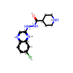 O=C(NNc1cnc2ccc(Br)cc2n1)C1CCNCC1